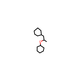 CC(CC1CCCCC1)OC1CCCCC1